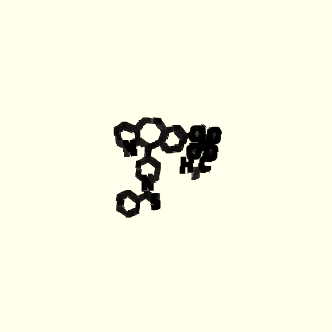 COS(=O)(=O)Oc1ccc2c(c1)CCc1cccnc1C2=C1CCN(C(=S)c2ccccc2)CC1